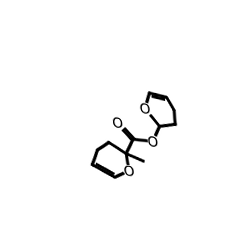 CC1(C(=O)OC2CCC=CO2)CCC=CO1